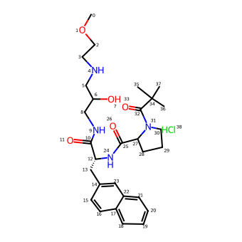 COCCNCC(O)CNC(=O)[C@@H](Cc1ccc2ccccc2c1)NC(=O)C1CCCN1C(=O)C(C)(C)C.Cl